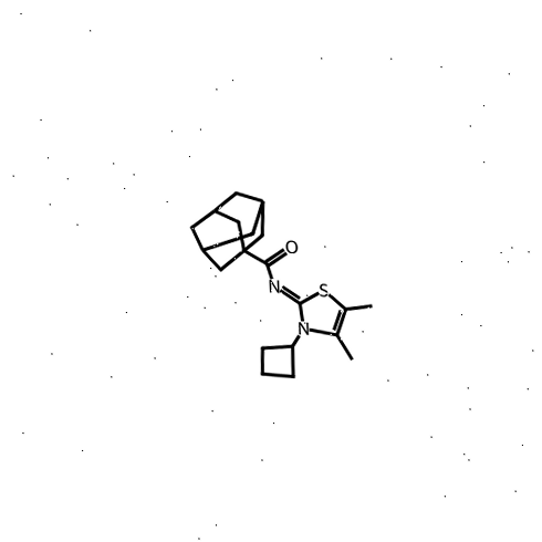 Cc1sc(=NC(=O)C23CC4CC(CC(C4)C2)C3)n(C2CCC2)c1C